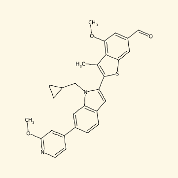 COc1cc(-c2ccc3cc(-c4sc5cc(C=O)cc(OC)c5c4C)n(CC4CC4)c3c2)ccn1